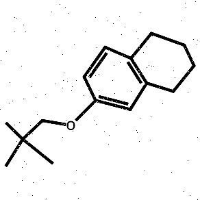 CC(C)(C)COc1ccc2c(c1)CCCC2